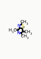 Cc1nc2c(C)nc(C)c(C)c2s1